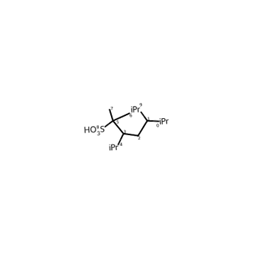 CC(C)C(CC(C(C)C)C(C)(C)S(=O)(=O)O)C(C)C